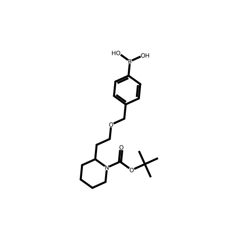 CC(C)(C)OC(=O)N1CCCCC1CCOCc1ccc(B(O)O)cc1